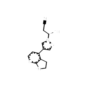 C[C@H](CC#N)n1cc(-c2ccnc3c2CCN3)cn1